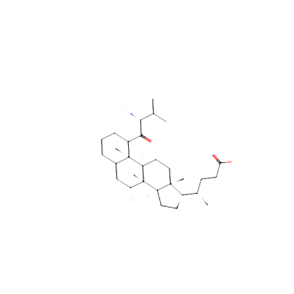 CC(C)[C@H](N)C(=O)C1C[C@@H](O)CC2C[C@@H](O)[C@@H]3[C@H](CC[C@]4(C)[C@@H]([C@H](C)CCC(=O)O)CC[C@@H]34)[C@]21C